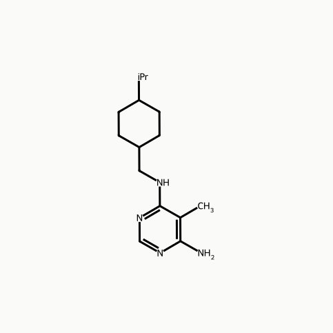 Cc1c(N)ncnc1NCC1CCC(C(C)C)CC1